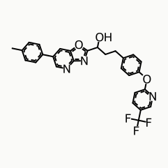 Cc1ccc(-c2cnc3nc(C(O)CCc4ccc(Oc5ccc(C(F)(F)F)cn5)cc4)oc3c2)cc1